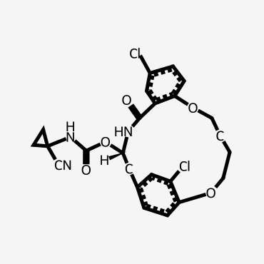 N#CC1(NC(=O)O[C@H]2Cc3ccc(c(Cl)c3)OCCCCOc3ccc(Cl)cc3C(=O)N2)CC1